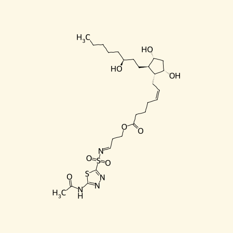 CCCCC[C@H](O)CC[C@@H]1[C@@H](C/C=C\CCCC(=O)OCC/C=N/S(=O)(=O)c2nnc(NC(C)=O)s2)[C@@H](O)C[C@H]1O